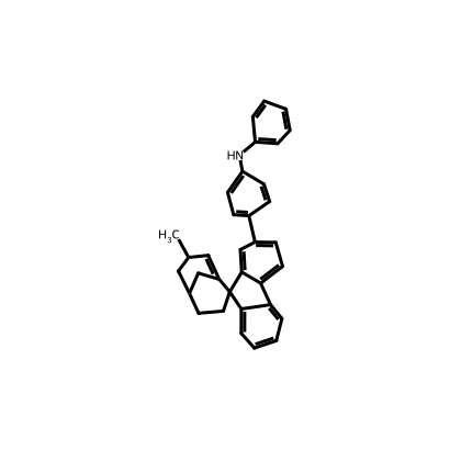 CC1C=C2CC(CCC23c2ccccc2-c2ccc(-c4ccc(Nc5ccccc5)cc4)cc23)C1